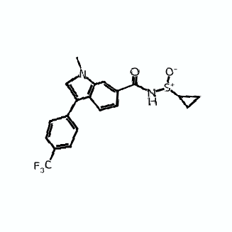 Cn1cc(-c2ccc(C(F)(F)F)cc2)c2ccc(C(=O)N[S+]([O-])C3CC3)cc21